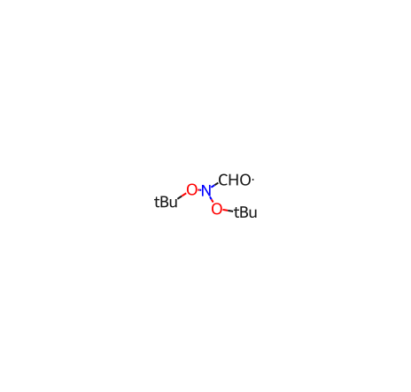 CC(C)(C)ON([C]=O)OC(C)(C)C